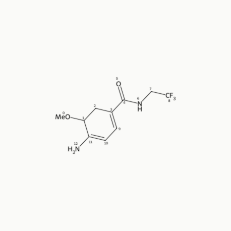 COC1CC(C(=O)NCC(F)(F)F)=CC=C1N